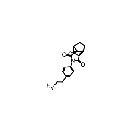 CCCc1ccc(N2C(=O)C3=C4CCC(C(=O)C4)C3C2=O)cc1